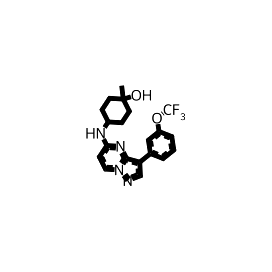 CC1(O)CCC(Nc2ccn3ncc(-c4cccc(OC(F)(F)F)c4)c3n2)CC1